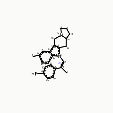 C/C(=C/n1c2c(c3cc(C)ccc31)CN1CCCC1C2)c1ccc(F)cc1